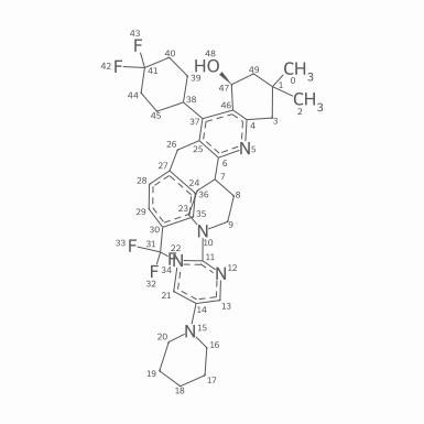 CC1(C)Cc2nc(C3CCN(c4ncc(N5CCCCC5)cn4)CC3)c(Cc3ccc(C(F)(F)F)cc3)c(C3CCC(F)(F)CC3)c2[C@@H](O)C1